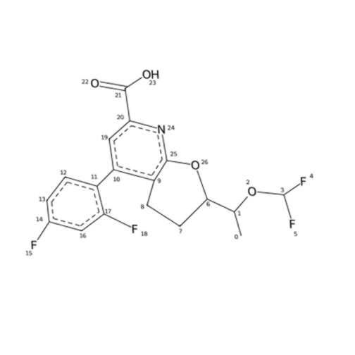 CC(OC(F)F)C1CCc2c(-c3ccc(F)cc3F)cc(C(=O)O)nc2O1